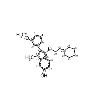 COc1cccc(-c2c(C)c3cc(O)ccc3n2OCCN2CCCCC2)c1